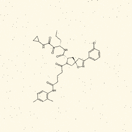 CCC[C@H](NC(=O)[C@@H]1C[C@]2(CC(c3cccc(Cl)c3)=NO2)CN1C(=O)CCCC(=O)Nc1ccc(C)cc1C)C(=O)C(=O)NC1CC1